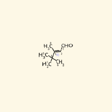 C/C(=C\C=O)C(C)(C)C